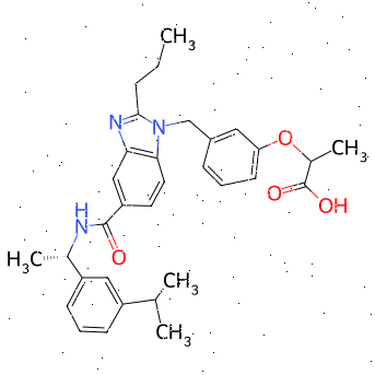 CCCc1nc2cc(C(=O)N[C@@H](C)c3cccc(C(C)C)c3)ccc2n1Cc1cccc(OC(C)C(=O)O)c1